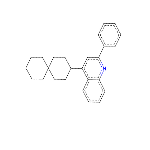 c1ccc(-c2cc(C3CCC4(CCCCC4)CC3)c3ccccc3n2)cc1